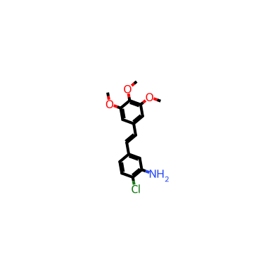 COc1cc(C=Cc2ccc(Cl)c(N)c2)cc(OC)c1OC